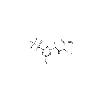 CC(NC(=O)c1cc(Cl)cc(S(=O)(=O)C(F)(F)F)c1)C(N)=O